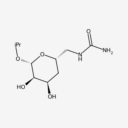 CC(C)O[C@@H]1O[C@H](CNC(N)=O)C[C@@H](O)[C@H]1O